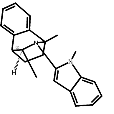 C[C@H]1C2CCC(C)(c3ccccc32)N1c1cc2ccccc2n1C